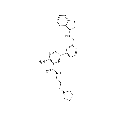 Nc1ncc(-c2cccc(CN[C@H]3CCc4ccccc43)c2)nc1C(=O)NCCCN1CCCC1